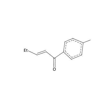 CCC=CC(=O)c1ccc(C)cc1